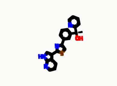 C[C@](O)(c1cccc(-c2csc(-c3c[nH]c4ncccc34)n2)c1)c1ccccn1